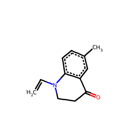 C=CN1CCC(=O)c2cc(C)ccc21